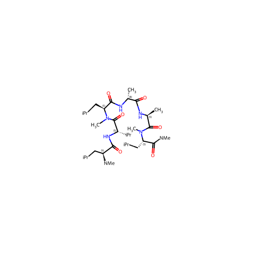 CNC(=O)[C@H](CC(C)C)N(C)C(=O)[C@H](C)NC(=O)[C@@H](C)NC(=O)[C@H](CC(C)C)N(C)C(=O)[C@@H](NC(=O)[C@H](CC(C)C)NC)C(C)C